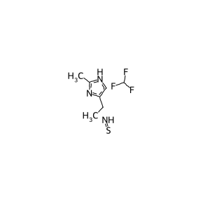 CCc1c[nH]c(C)n1.FC(F)F.N=S